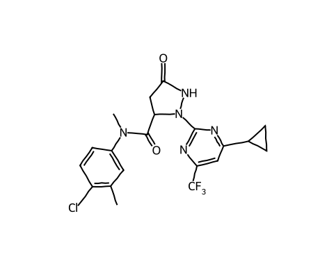 Cc1cc(N(C)C(=O)C2CC(=O)NN2c2nc(C3CC3)cc(C(F)(F)F)n2)ccc1Cl